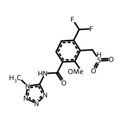 COc1c(C(=O)Nc2nnnn2C)ccc(C(F)F)c1C[SH](=O)=O